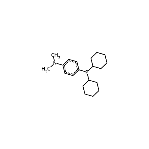 CN(C)c1ccc(P(C2CCCCC2)C2CCCCC2)cc1